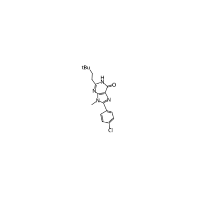 Cn1c(-c2ccc(Cl)cc2)nc2c(=O)[nH]c(CCC(C)(C)C)nc21